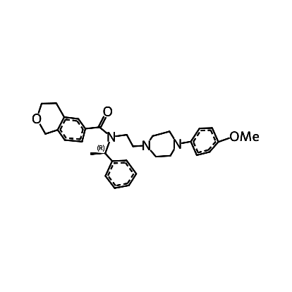 COc1ccc(N2CCN(CCN(C(=O)c3ccc4c(c3)CCOC4)[C@H](C)c3ccccc3)CC2)cc1